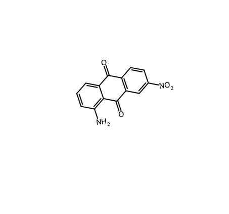 Nc1cccc2c1C(=O)c1cc([N+](=O)[O-])ccc1C2=O